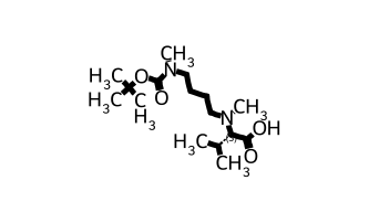 CC(C)[C@@H](C(=O)O)N(C)CCCCN(C)C(=O)OC(C)(C)C